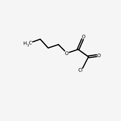 CCCCOC(=O)C(=O)Cl